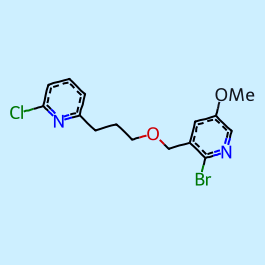 COc1cnc(Br)c(COCCCc2cccc(Cl)n2)c1